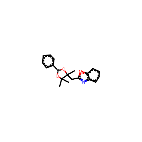 CC1(C)OB(c2ccccc2)OC1(C)Cc1nc2ccccc2o1